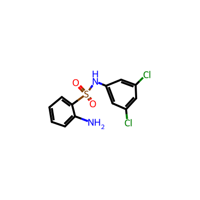 Nc1ccccc1S(=O)(=O)Nc1cc(Cl)cc(Cl)c1